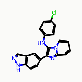 Clc1ccc(Nc2c(-c3ccc4[nH]ncc4c3)nc3ccccn23)cc1